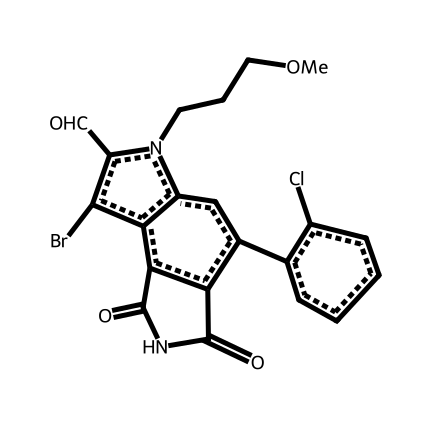 COCCCn1c(C=O)c(Br)c2c3c(c(-c4ccccc4Cl)cc21)C(=O)NC3=O